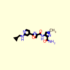 Cn1cc(NC(=O)c2coc(-c3ccnc(NCC4CC4)c3)n2)c(C(N)=O)n1